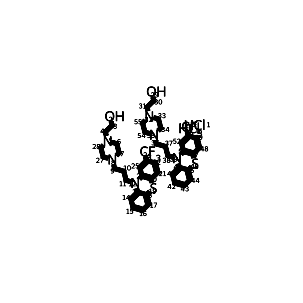 Cl.Cl.OCCN1CCN(CCCN2c3ccccc3Sc3ccc(C(F)(F)F)cc32)CC1.OCCN1CCN(CCCN2c3ccccc3Sc3ccc(C(F)(F)F)cc32)CC1